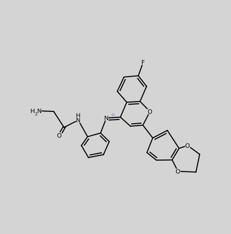 NCC(=O)Nc1ccccc1/N=c1\cc(-c2ccc3c(c2)OCCO3)oc2cc(F)ccc12